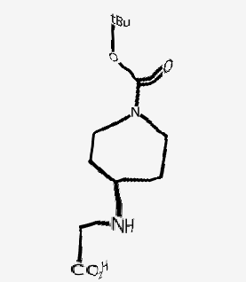 CC(C)(C)OC(=O)N1CCC(NCC(=O)O)CC1